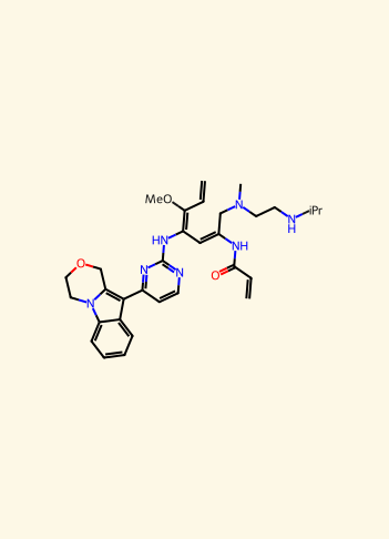 C=CC(=O)N/C(=C/C(Nc1nccc(-c2c3n(c4ccccc24)CCOC3)n1)=C(\C=C)OC)CN(C)CCNC(C)C